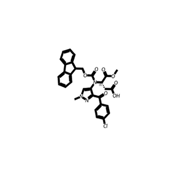 COC(=O)[C@H](CC(=O)O)N(C(=O)OCC1c2ccccc2-c2ccccc21)c1cn(C)nc1C(=O)c1ccc(Cl)cc1